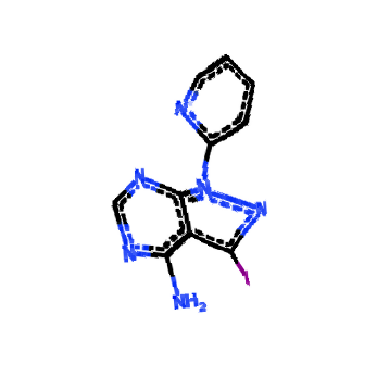 Nc1ncnc2c1c(I)nn2-c1ccccn1